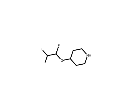 F[C](F)C(F)OC1CCNCC1